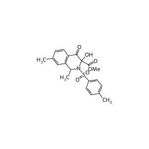 COC(=O)C1(O)C(=O)c2ccc(C)cc2C(C)N1S(=O)(=O)c1ccc(C)cc1